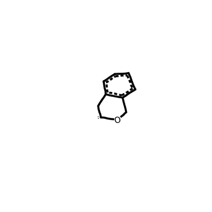 [C]1Cc2ccccc2CO1